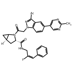 CC(=O)c1nn(CC(=O)N2C3C[C@@H]3C[C@H]2C(=O)NC/C(F)=C\c2ccccc2)c2ccc(-c3cnc(C)nc3)cc12